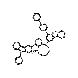 C=C1/C=C\C=C/CN(c2cc(-c3ccc(-c4ccccc4)cc3)c3sc4ccccc4c3c2)c2cccc(-c3ccc4c(c3)c3ccccc3n4-c3ccccc3)c21